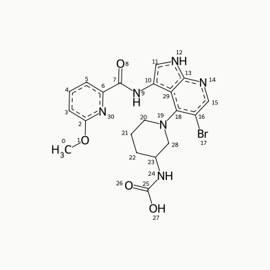 COc1cccc(C(=O)Nc2c[nH]c3ncc(Br)c(N4CCCC(NC(=O)O)C4)c23)n1